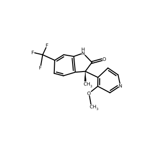 COc1cnccc1[C@@]1(C)C(=O)Nc2cc(C(F)(F)F)ccc21